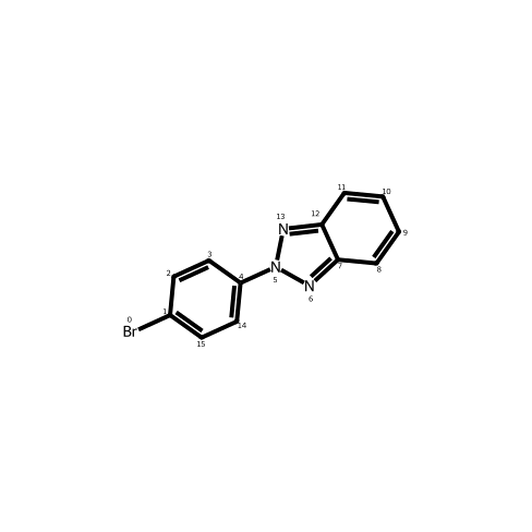 Brc1ccc(-n2nc3ccccc3n2)cc1